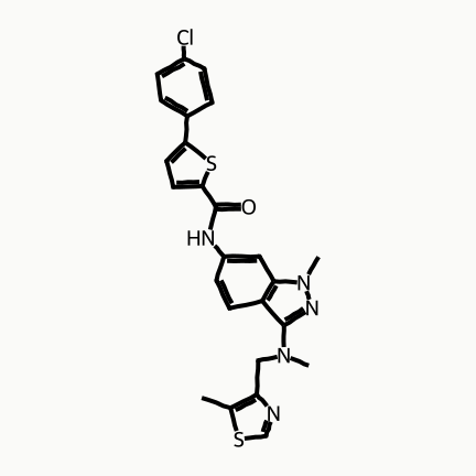 Cc1scnc1CN(C)c1nn(C)c2cc(NC(=O)c3ccc(-c4ccc(Cl)cc4)s3)ccc12